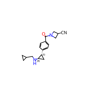 N#CC1CN(C(=O)c2ccc([C@@H]3C[C@H]3NCC3CC3)cc2)C1